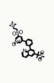 CC(C)(c1cc(-c2cccc(-c3cc(S(=O)(=O)CC[Si](C)(C)C)c[n+]([O-])c3)c2)c2ncccc2c1)S(C)(=O)=O